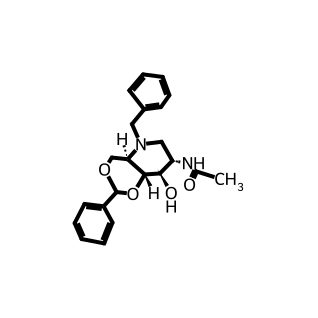 CC(=O)N[C@H]1CN(Cc2ccccc2)[C@@H]2COC(c3ccccc3)O[C@H]2[C@@H]1O